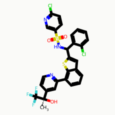 C[C@@](O)(c1ccnc(-c2cccc3cc(C(NS(=O)(=O)c4ccc(Cl)nc4)c4ccccc4Cl)sc23)c1)C(F)(F)F